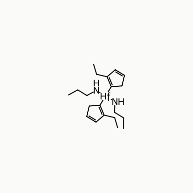 CCC[NH][Hf]([NH]CCC)([C]1=C(CC)C=CC1)[C]1=C(CC)C=CC1